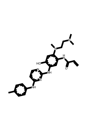 C=CC(=O)Nc1cc(Nc2nccc(Nc3ccc(C)cc3)n2)c(O)cc1N(C)CCN(C)C